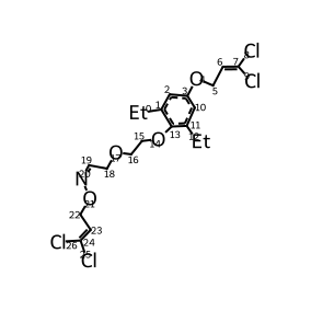 CCc1cc(OCC=C(Cl)Cl)cc(CC)c1OCCOC/C=N\OCC=C(Cl)Cl